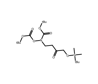 CC(C)(C)OC(=O)ON(CCC(=O)CO[Si](C)(C)C(C)(C)C)C(=O)OC(C)(C)C